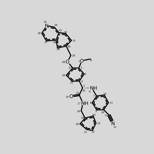 COc1cc([C@H](Nc2ccc(C#N)cc2)C(=O)NCc2ccccc2)ccc1OCc1ccc2cnccc2c1